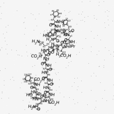 CC(C)[C@H](NC(=O)CNC(=O)[C@H](Cc1ccccc1)NC(=O)[C@H](CCC(N)=O)NC(=O)[C@H](Cc1c[nH]cn1)NC(=O)[C@@H](N)Cc1ccccc1)C(=O)N[C@@H](CCC(=O)O)C(=O)N[C@@H](C)C(=O)N[C@@H](CCCCN)C(=O)N[C@@H](CC(=O)O)C(=O)NCC(=O)NCC(=O)NCC(=O)NCC(=O)NCC(=O)N[C@@H](CC(=O)O)C(=O)N[C@@H](CCC(N)=O)C(=O)N[C@@H](CO)C(=O)NCC(=O)N[C@@H](Cc1ccccc1)C(=O)O